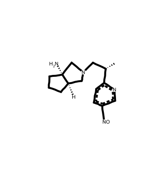 C[C@@H](CN1C[C@H]2CCC[C@@]2(N)C1)c1ccc(N=O)cn1